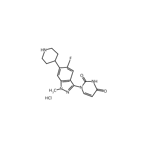 Cl.Cn1nc(-n2ccc(=O)[nH]c2=O)c2cc(F)c(C3CCNCC3)cc21